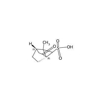 CC12C(S(=O)(=O)O)[C@]13CC[C@H]2CC3=O